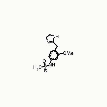 COc1cc(NS(C)(=O)=O)ccc1CC1=NCCN1